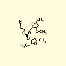 CC[C@H]1O[C@@H](C)C[C@H]1OP(OCCC#N)OC[C@H]1O[C@@H](C)C[C@H]1OC